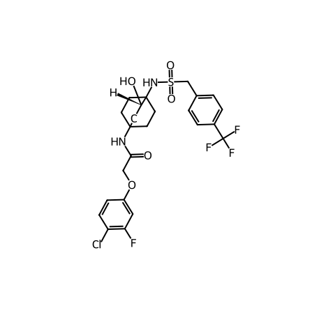 O=C(COc1ccc(Cl)c(F)c1)NC12CCC(NS(=O)(=O)Cc3ccc(C(F)(F)F)cc3)(CC1)[C@@H](O)C2